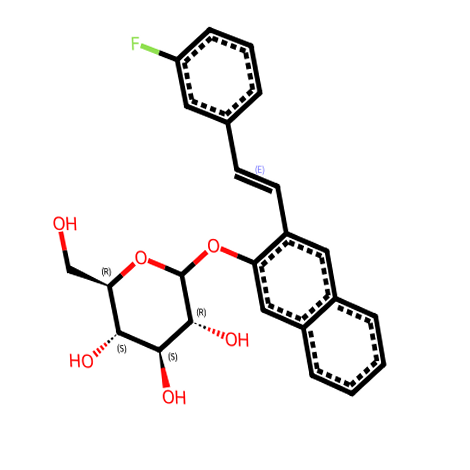 OC[C@H]1OC(Oc2cc3ccccc3cc2/C=C/c2cccc(F)c2)[C@H](O)[C@@H](O)[C@@H]1O